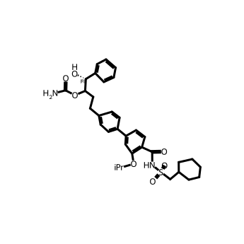 CC(C)Oc1cc(-c2ccc(CCC(OC(N)=O)[C@H](O)c3ccccc3)cc2)ccc1C(=O)NS(=O)(=O)CC1CCCCC1